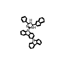 c1ccc(C2N=C(n3c4ccccc4c4cc(-n5c6ccccc6c6ccccc65)ccc43)NC(c3ccc4ccccc4c3)N2)cc1